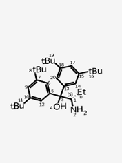 CC[C@H](N)C(O)(c1cc(C(C)(C)C)cc(C(C)(C)C)c1)c1cc(C(C)(C)C)cc(C(C)(C)C)c1